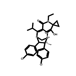 CCN(C(=O)C1=C(C(C)C)N2C[N@@](S1)[C@@](C)(c1ccc(Cl)cc1)C2c1ccc(Cl)cc1)C1(C(=O)O)CC1